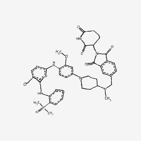 COc1cc(N2CCC(N(C)Cc3ccc4c(c3)C(=O)N(C3CCC(=O)NC3=O)C4=O)CC2)ccc1Nc1ncc(Cl)c(Nc2ccccc2P(C)(C)=O)n1